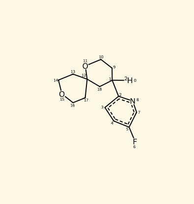 [2H]C1(c2ccc(F)cn2)CCOC2(CCOCC2)C1